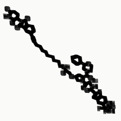 CC(C)(C)C(NC(=O)c1cc2cc(C(F)(F)P(=O)(O)O)ccc2s1)C(=O)N1C[C@@H](OCC(=O)NCCCCCCCCCC#Cc2ccc3c(c2)C(=O)N(C2CCC(=O)NC2=O)C3=O)C[C@H]1C(=O)N1CCO[C@H](c2ccccc2)C1